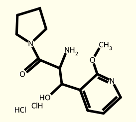 COc1ncccc1C(O)C(N)C(=O)N1CCCC1.Cl.Cl